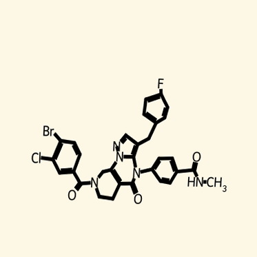 CNC(=O)c1ccc(-n2c(=O)c3c(n4ncc(Cc5ccc(F)cc5)c24)CN(C(=O)c2ccc(Br)c(Cl)c2)CC3)cc1